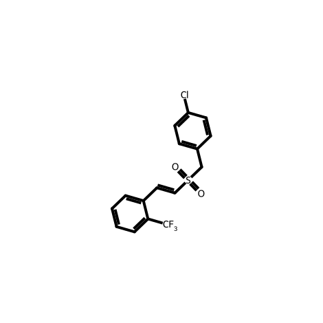 O=S(=O)(C=Cc1ccccc1C(F)(F)F)Cc1ccc(Cl)cc1